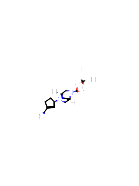 CC(C)(C)OC(=O)N1C[C@@H]2C[C@H]1CN2C1C=C(C#N)CC1